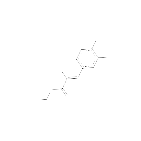 CCOC(=O)/C(C)=C/c1ccc(O)c(Cl)c1